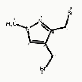 Cn1cc(CBr)c(CBr)n1